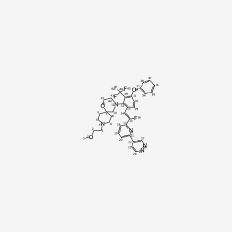 COCCN1CCC2(CC1)CN(c1c(/C=C(\F)c3cccc(-c4ccnnc4)n3)ccc(Oc3ccccc3)c1C(F)(F)F)CCO2